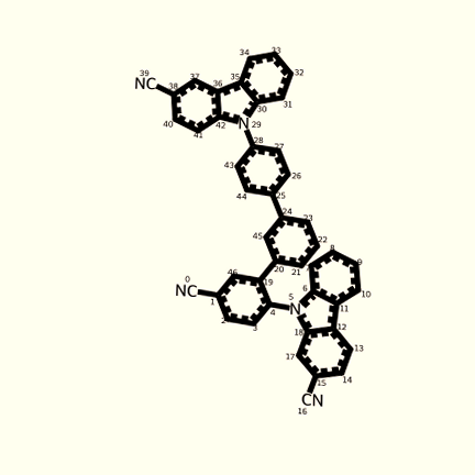 N#Cc1ccc(-n2c3ccccc3c3ccc(C#N)cc32)c(-c2cccc(-c3ccc(-n4c5ccccc5c5cc(C#N)ccc54)cc3)c2)c1